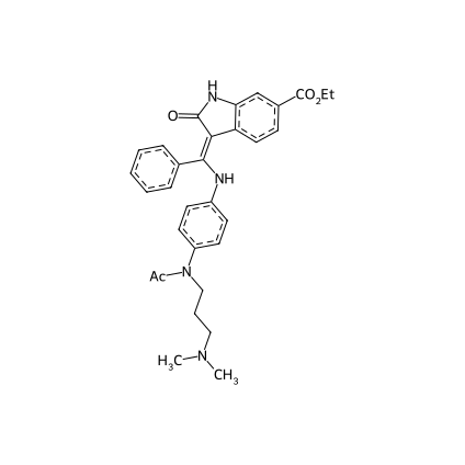 CCOC(=O)c1ccc2c(c1)NC(=O)C2=C(Nc1ccc(N(CCCN(C)C)C(C)=O)cc1)c1ccccc1